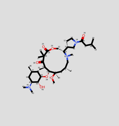 CO[C@]1(C)C[C@@H](C)CN(C)[C@@H]([C@@H]2CCN(C(=O)CC(C)C)C2)COC(=O)C(C)(C)C(=O)[C@H](C)[C@H]1O[C@@H]1C[C@H](C)C[C@H](N(C)C)[C@H]1O